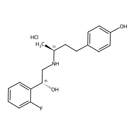 C[C@@H](CCc1ccc(O)cc1)NC[C@H](O)c1ccccc1F.Cl